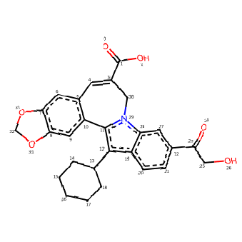 O=C(O)C1=Cc2cc3c(cc2-c2c(C4CCCCC4)c4ccc(C(=O)CO)cc4n2C1)OCO3